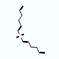 C=CCCC=CS(=O)(=O)C=CCCC=C